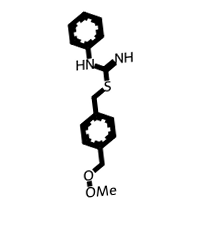 COOCc1ccc(CSC(=N)Nc2ccccc2)cc1